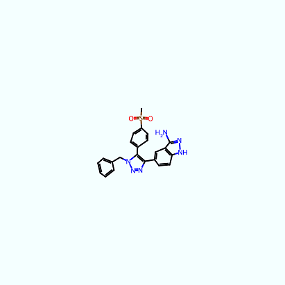 CS(=O)(=O)c1ccc(-c2c(-c3ccc4[nH]nc(N)c4c3)nnn2Cc2ccccc2)cc1